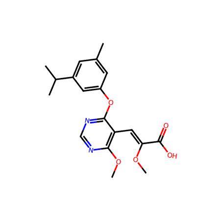 COC(=Cc1c(OC)ncnc1Oc1cc(C)cc(C(C)C)c1)C(=O)O